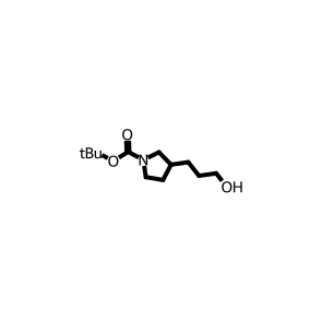 CC(C)(C)OC(=O)N1CCC(CCCO)C1